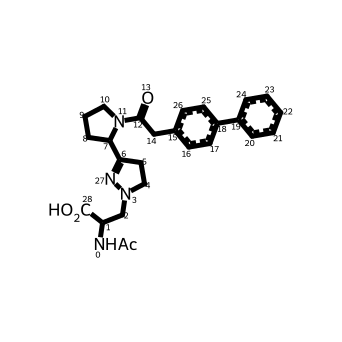 CC(=O)NC(CN1CCC(C2CCCN2C(=O)Cc2ccc(-c3ccccc3)cc2)=N1)C(=O)O